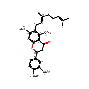 COc1ccc([C@@H]2CC(=O)c3c(cc(OC)c(C/C=C(\C)CCC=C(C)C)c3OC)O2)cc1OC